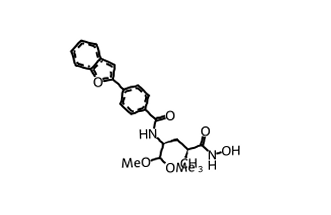 COC(OC)[C@H](C[C@H](C)C(=O)NO)NC(=O)c1ccc(-c2cc3ccccc3o2)cc1